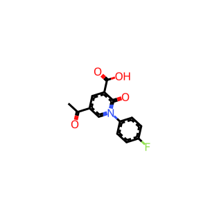 CC(=O)c1cc(C(=O)O)c(=O)n(-c2ccc(F)cc2)c1